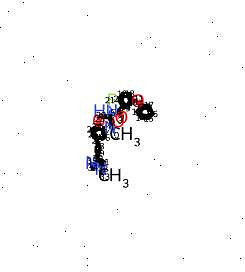 CN1C(=O)C(NC(=O)c2cc(Oc3ccccc3)ccc2F)COc2ccc(C#Cc3cn(C)cn3)cc21